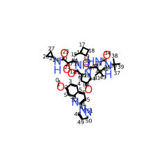 COc1ccc2c(O[C@@H]3CC(C(=O)N[C@@H](CC4CCC4)C(=O)C(=O)NC4CC4)N(C(=O)[C@@H](NC(=O)NC(C)(C)C)C(C)(C)C)C3)cc(-n3cccn3)nc2c1